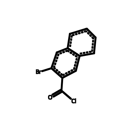 O=C(Cl)c1cc2ccccc2cc1Br